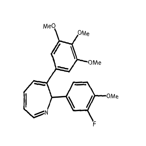 COc1ccc(C2N=CC=CC=C2c2cc(OC)c(OC)c(OC)c2)cc1F